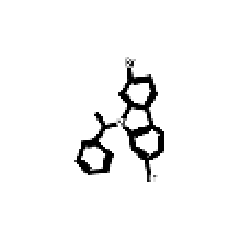 CC(c1ccccc1)n1c2cc(Br)ccc2c2ccc(Br)cc21